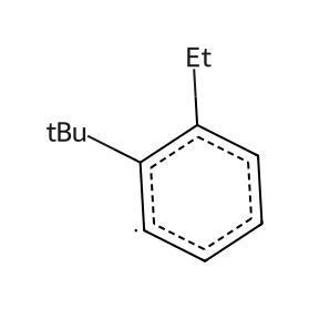 CCc1ccc[c]c1C(C)(C)C